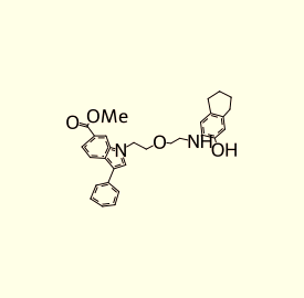 COC(=O)c1ccc2c(-c3ccccc3)cn(CCOCCNc3cc4c(cc3O)CCCC4)c2c1